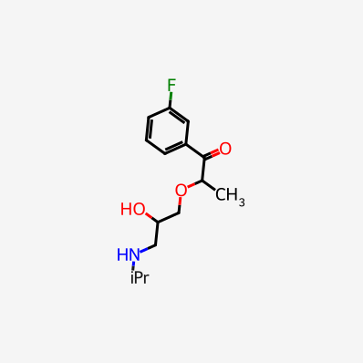 CC(C)NCC(O)COC(C)C(=O)c1cccc(F)c1